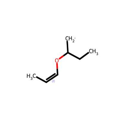 [CH2]C(CC)O/C=C\C